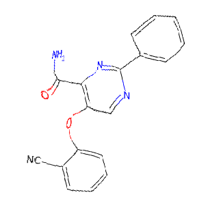 N#Cc1ccccc1Oc1cnc(-c2ccccc2)nc1C(N)=O